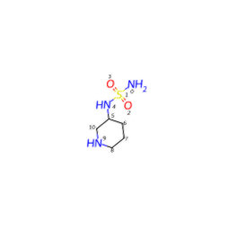 NS(=O)(=O)NC1CCCNC1